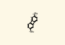 CC(C)(C)c1ccc2c(c1)-c1ccc(C(C)(C)C)cc1-2